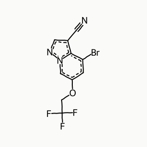 N#Cc1cnn2cc(OCC(F)(F)F)cc(Br)c12